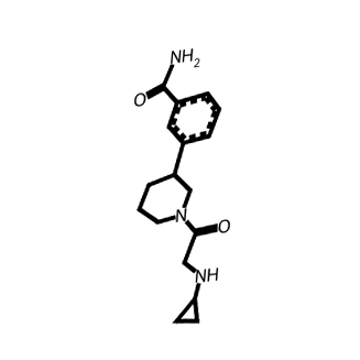 NC(=O)c1cccc(C2CCCN(C(=O)CNC3CC3)C2)c1